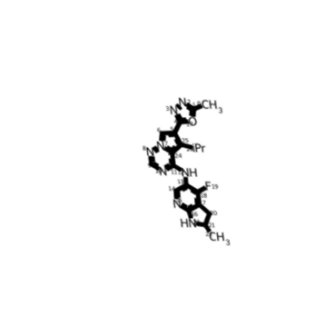 Cc1nnc(-c2cn3ncnc(Nc4cnc5c(c4F)CC(C)N5)c3c2C(C)C)o1